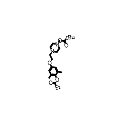 CCC(=O)Oc1c(C)cc(OCCN2CCN(OC(=O)C(C)(C)C)CC2)cc1C